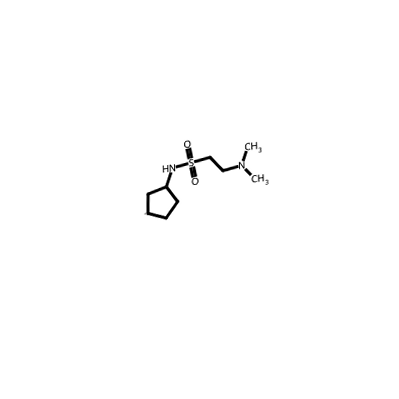 CN(C)CCS(=O)(=O)NC1C[CH]CC1